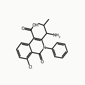 CC(C)C(N)c1c(C(=O)O)c2cccc(Cl)c2c(=O)n1-c1ccccc1